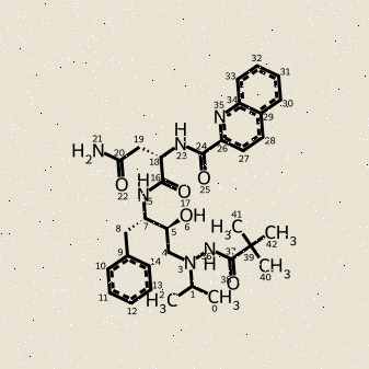 CC(C)N(C[C@H](O)[C@H](Cc1ccccc1)NC(=O)[C@H](CC(N)=O)NC(=O)c1ccc2ccccc2n1)NC(=O)C(C)(C)C